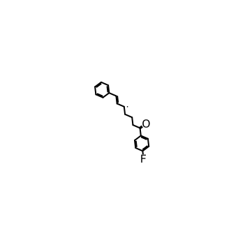 O=C(CCC[CH]C=Cc1ccccc1)c1ccc(F)cc1